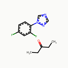 CCC(=O)CC.Fc1ccc(-n2cncn2)c(F)c1